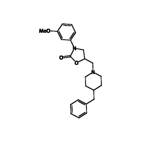 COc1cccc(N2CC(CN3CCC(Cc4ccccc4)CC3)OC2=O)c1